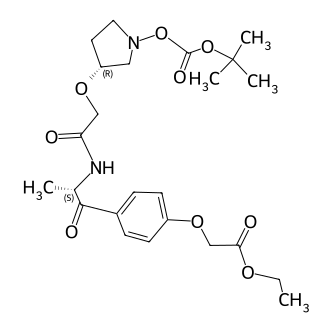 CCOC(=O)COc1ccc(C(=O)[C@H](C)NC(=O)CO[C@@H]2CCN(OC(=O)OC(C)(C)C)C2)cc1